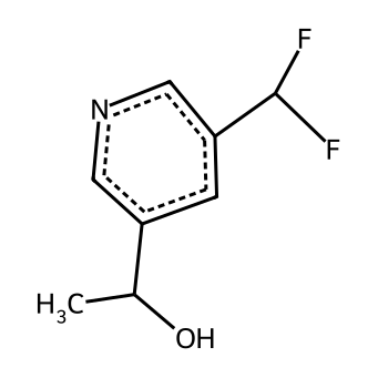 CC(O)c1cncc(C(F)F)c1